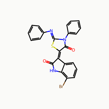 O=C1Nc2c(Br)cccc2/C1=C1/S/C(=N\c2ccccc2)N(c2ccccc2)C1=O